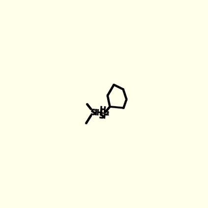 C[SiH](C)[SiH2]C1CCCCC1